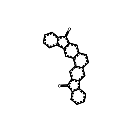 O=c1c2ccccc2c2cc3ccc4cc5c(=O)c6ccccc6c5cc4c3cc12